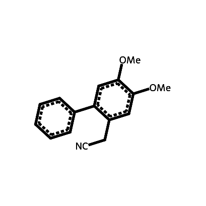 COc1cc(CC#N)c(-c2ccccc2)cc1OC